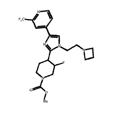 CC(C)(C)OC(=O)N1CCC(c2nc(-c3ccnc(C(F)(F)F)c3)cn2CCN2CCC2)C(F)C1